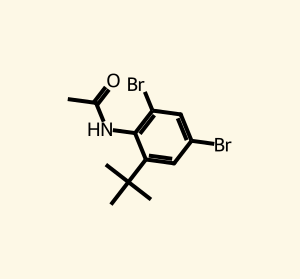 CC(=O)Nc1c(Br)cc(Br)cc1C(C)(C)C